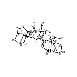 CC1(OC(=O)COC23CC4CC(C2)C(OC(=O)C(F)(F)SOOO)C(C4)C3)C2CC3CC(C2)CC1C3